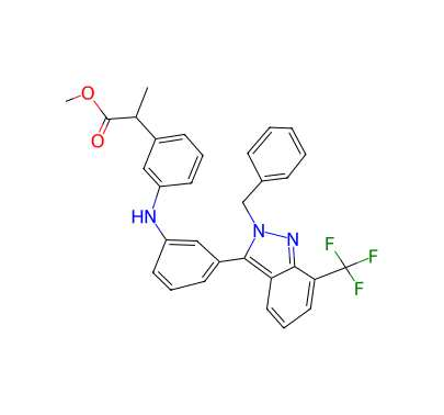 COC(=O)C(C)c1cccc(Nc2cccc(-c3c4cccc(C(F)(F)F)c4nn3Cc3ccccc3)c2)c1